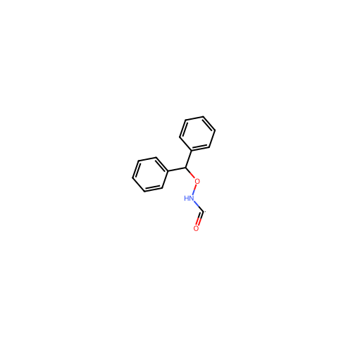 O=[C]NOC(c1ccccc1)c1ccccc1